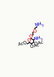 CC(=O)OCC1OC(OCCOCCN)C(N)C(OC(C)=O)C1OC(C)=O